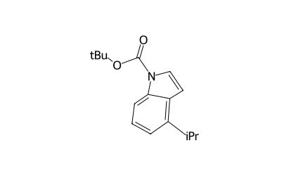 CC(C)c1cccc2c1ccn2C(=O)OC(C)(C)C